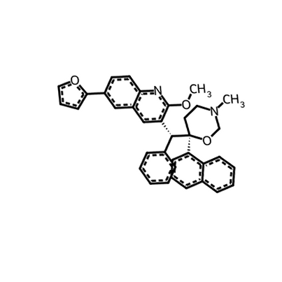 COc1nc2ccc(-c3ccco3)cc2cc1[C@@H](c1ccccc1)[C@@]1(c2cccc3ccccc23)CCN(C)CO1